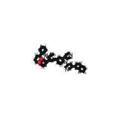 c1ccc(-c2ccccc2-n2c3ccccc3c3cc(-c4ccc5c(c4)c4ccncc4n5-c4cncc(-c5ccc6ccccc6c5)c4)ccc32)cc1